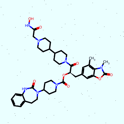 Cc1cc(C[C@@H](OC(=O)N2CCC(N3CCc4ccccc4NC3=O)CC2)C(=O)N2CCC(C3CCN(CC(=O)NO)CC3)CC2)cc2oc(=O)n(C)c12